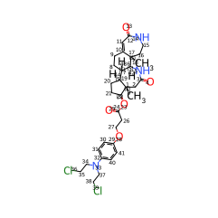 C[C@]12CC(=O)N[C@H]3[C@@H](CCC4=CC(=O)NCC[C@@]43C)[C@@H]1CC[C@@H]2OC(=O)CCOc1ccc(N(CCCl)CCCl)cc1